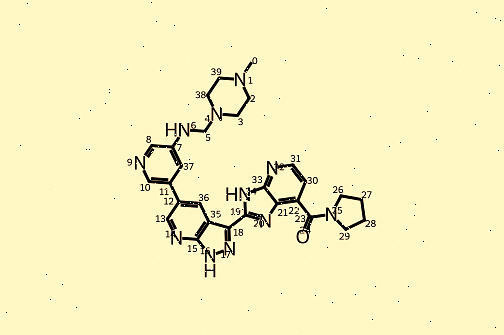 CN1CCN(CNc2cncc(-c3cnc4[nH]nc(-c5nc6c(C(=O)N7CCCC7)ccnc6[nH]5)c4c3)c2)CC1